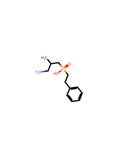 CC(CN)CP(=O)(O)CCc1ccccc1